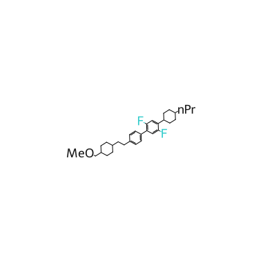 CCCC1CCC(c2cc(F)c(-c3ccc(CCC4CCC(COC)CC4)cc3)cc2F)CC1